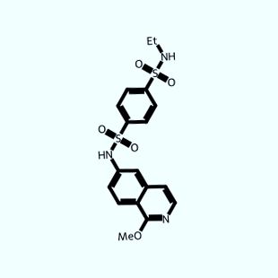 CCNS(=O)(=O)c1ccc(S(=O)(=O)Nc2ccc3c(OC)nccc3c2)cc1